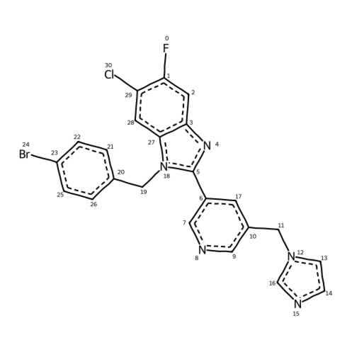 Fc1cc2nc(-c3cncc(Cn4ccnc4)c3)n(Cc3ccc(Br)cc3)c2cc1Cl